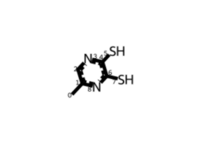 Cc1cnc(S)c(S)n1